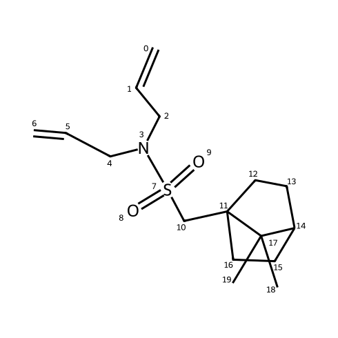 C=CCN(CC=C)S(=O)(=O)CC12CCC(CC1)C2(C)C